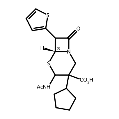 CC(=O)NC1S[C@@H]2C(c3cccs3)C(=O)N2CC1(C(=O)O)C1CCCC1